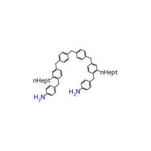 CCCCCCCc1cc(Cc2ccc(Cc3ccc(Cc4ccc(Cc5ccc(N)cc5)c(CCCCCCC)c4)cc3)cc2)ccc1Cc1ccc(N)cc1